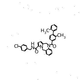 Cc1ccccc1-c1ccc(C(=O)N2Cc3ccc(C(=O)NCc4ccc(Cl)cc4)n3Cc3ccccc32)cc1C